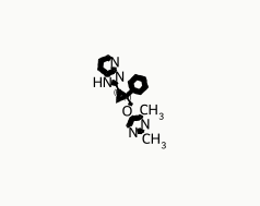 Cc1ncc(OC[C@@]2(c3ccccc3)C[C@H]2c2nc3ncccc3[nH]2)c(C)n1